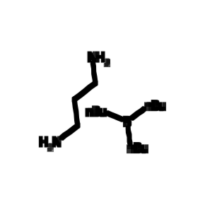 CCCCB(CCCC)CCCC.NCCCN